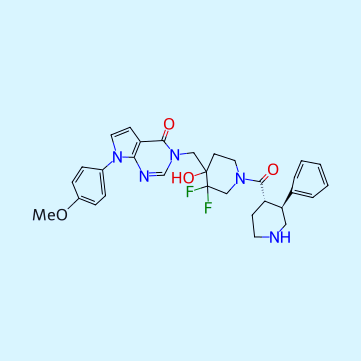 COc1ccc(-n2ccc3c(=O)n(CC4(O)CCN(C(=O)[C@H]5CCNC[C@@H]5c5ccccc5)CC4(F)F)cnc32)cc1